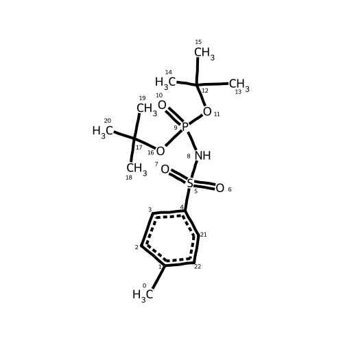 Cc1ccc(S(=O)(=O)NP(=O)(OC(C)(C)C)OC(C)(C)C)cc1